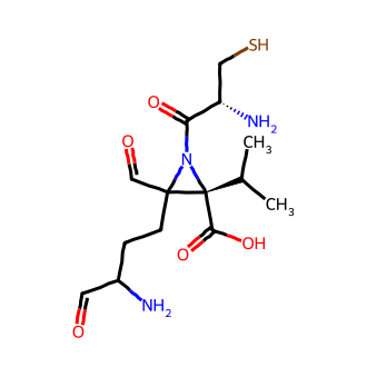 CC(C)[C@]1(C(=O)O)N(C(=O)[C@@H](N)CS)C1(C=O)CCC(N)C=O